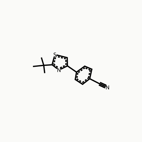 CC(C)(C)c1nc(-c2ccc(C#N)cc2)cs1